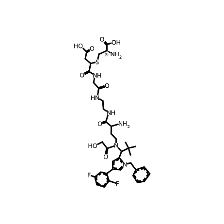 CC(C)(C)C(c1cc(-c2cc(F)ccc2F)cn1Cc1ccccc1)N(CCC(N)C(=O)NCCNC(=O)CNC(=O)C(CC(=O)O)SC[C@H](N)C(=O)O)C(=O)CO